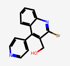 OCc1c(Br)nc2ccccc2c1-c1ccncc1